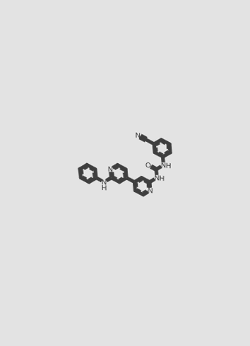 N#Cc1cccc(NC(=O)Nc2cc(-c3ccnc(Nc4ccccc4)c3)ccn2)c1